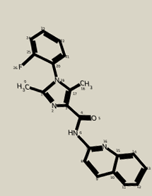 Cc1nc(C(=O)Nc2ccc3ccccc3n2)c(C)n1-c1ccccc1F